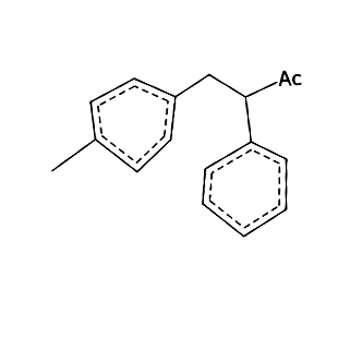 CC(=O)C(Cc1ccc(C)cc1)c1ccccc1